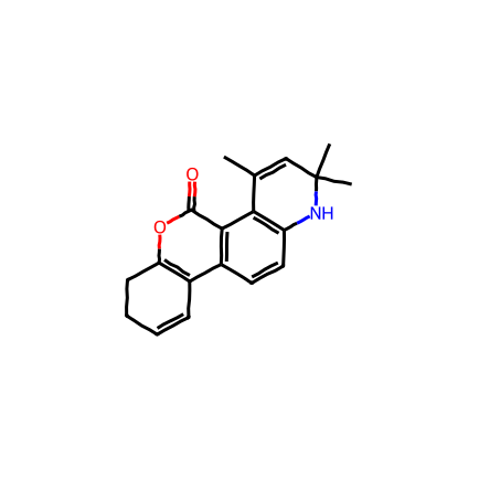 CC1=CC(C)(C)Nc2ccc3c4c(oc(=O)c3c21)CCC=C4